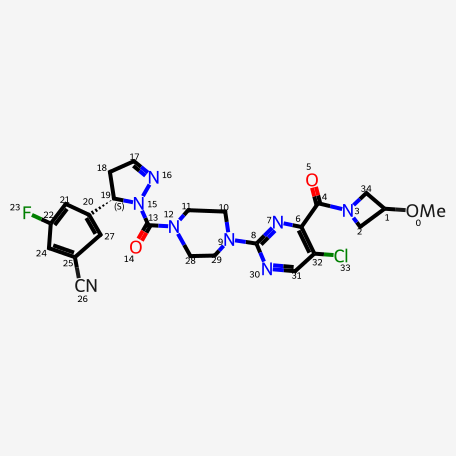 COC1CN(C(=O)c2nc(N3CCN(C(=O)N4N=CC[C@H]4c4cc(F)cc(C#N)c4)CC3)ncc2Cl)C1